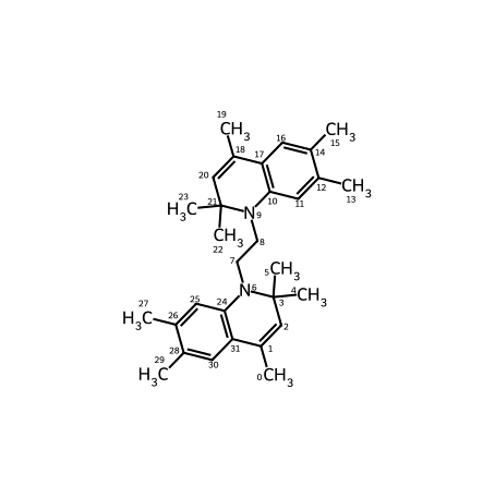 CC1=CC(C)(C)N(CCN2c3cc(C)c(C)cc3C(C)=CC2(C)C)c2cc(C)c(C)cc21